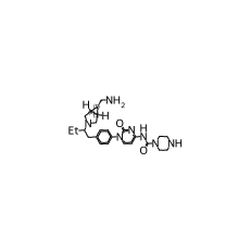 CCC(Cc1ccc(-n2ccc(NC(=O)N3CCNCC3)nc2=O)cc1)N1C[C@@H]2[C@@H](CN)[C@@H]2C1